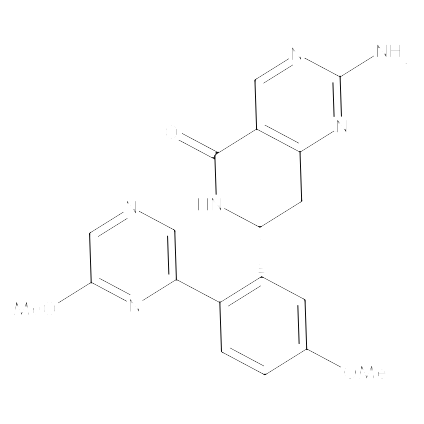 COc1ccc(-c2cncc(OC)n2)c([C@H]2Cc3nc(N)ncc3C(=O)N2)c1